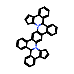 C1=CC2=C(C1)N1c3cc4c(cc3-c3ccccc3C1c1ccccc12)N1C2=C(C=CC2)c2ccccc2C1c1ccccc1-4